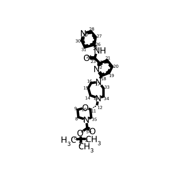 CC(C)(C)OC(=O)N1CCO[C@H](CN2CCCN(c3cccc(C(=O)Nc4ccncc4)n3)CC2)C1